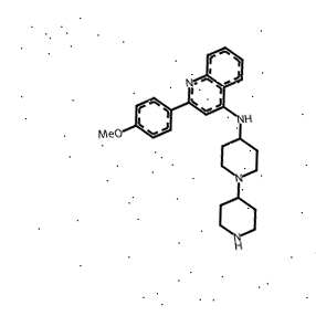 COc1ccc(-c2cc(NC3CCN(C4CCNCC4)CC3)c3ccccc3n2)cc1